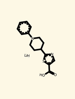 O=C(O)c1cnc(C2CCN(c3ccccc3)CC2)s1.[LiH]